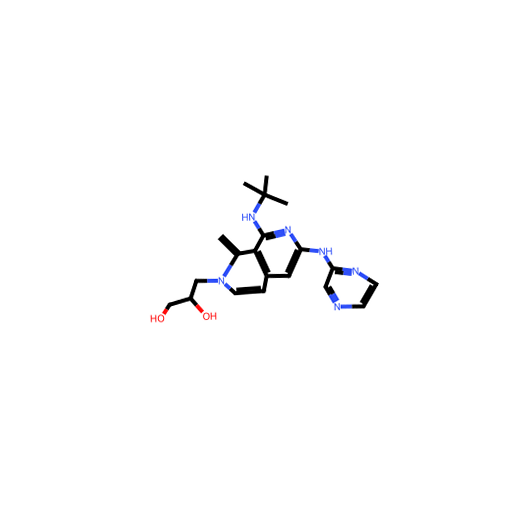 C=C1c2c(cc(Nc3cnccn3)nc2NC(C)(C)C)C=CN1CC(O)CO